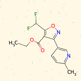 CCOC(=O)c1c(-c2ccc(C)nc2)noc1C(F)F